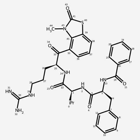 CC(C)[C@H](NC(=O)[C@H](Cc1ccccc1)NC(=O)c1ccccc1)C(=O)N[C@@H](CCCNC(=N)N)C(=O)c1cccc2sc(=O)n(C)c12